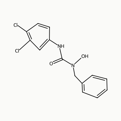 O=C(Nc1ccc(Cl)c(Cl)c1)N(O)Cc1ccccc1